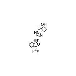 O=C(NCc1n[nH]c(-c2cccc(O)c2O)n1)c1ccccc1OC(F)F